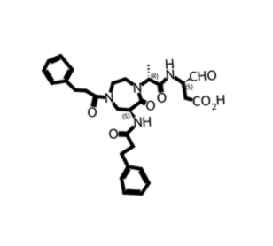 C[C@H](C(=O)N[C@H](C=O)CC(=O)O)N1CCN(C(=O)CCc2ccccc2)C[C@H](NC(=O)CCc2ccccc2)C1=O